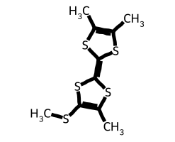 CSC1=C(C)SC(=C2SC(C)=C(C)S2)S1